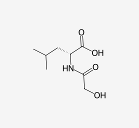 CC(C)C[C@@H](NC(=O)CO)C(=O)O